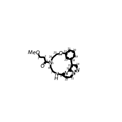 COCCC(=O)N1CCNc2ccn3ncc(c3n2)-c2cccc(c2)OCC1